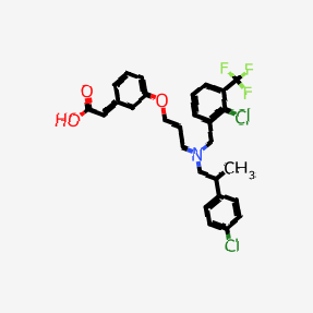 CC(CN(CCCOC1=CC=C/C(=C\C(=O)O)C1)Cc1cccc(C(F)(F)F)c1Cl)c1ccc(Cl)cc1